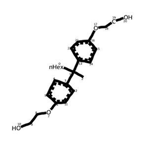 CCCCCCC(C)(c1ccc(OCCO)cc1)c1ccc(OCCO)cc1